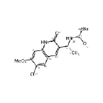 COc1cc2[nH]c(=O)c([C@@H](C)N[S@+]([O-])C(C)(C)C)cc2cc1Cl